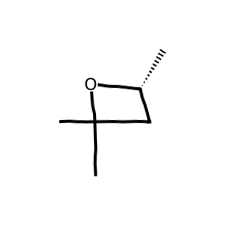 C[C@@H]1CC(C)(C)O1